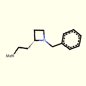 CNCC[C@@H]1CCN1Cc1ccccc1